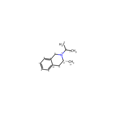 CC(C)N1Cc2ccccc2C[C@H]1C